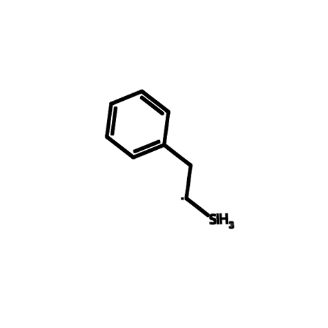 [SiH3][CH]Cc1ccccc1